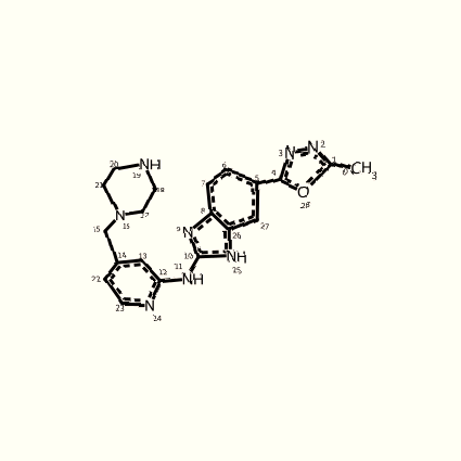 Cc1nnc(-c2ccc3nc(Nc4cc(CN5CCNCC5)ccn4)[nH]c3c2)o1